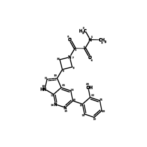 CN(C)C(=O)C(=O)N1CC(c2c[nH]c3nnc(-c4ccccc4O)cc23)C1